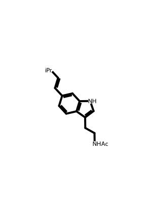 CC(=O)NCCc1c[nH]c2cc(C=CC(C)C)ccc12